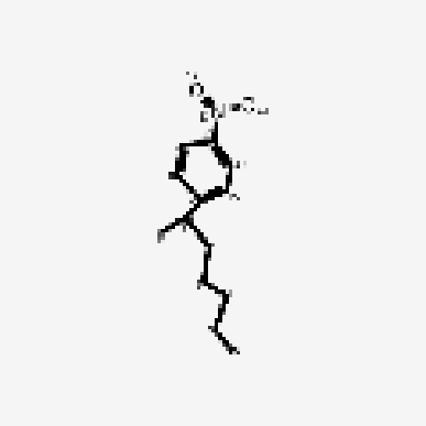 CCCCCC(C)c1ccc([N+](=O)[O-])cc1